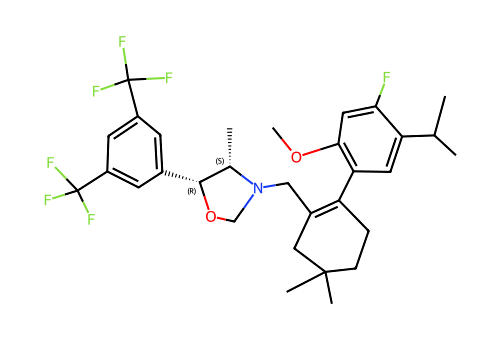 COc1cc(F)c(C(C)C)cc1C1=C(CN2CO[C@H](c3cc(C(F)(F)F)cc(C(F)(F)F)c3)[C@@H]2C)CC(C)(C)CC1